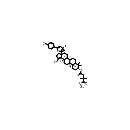 CC(C)C1=C2[C@H]3CC[C@@H]4[C@@]5(C)CC[C@H](OC(=O)CC(C)(C)C(=O)OC(C)(C)C)C(C)(C)C5CC[C@@]4(C)[C@]3(C)CC[C@@]2(C23C[C@H]2C=C(c2ccc(Cl)cc2)O3)CC1